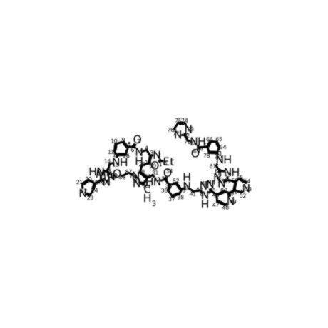 CCc1nc(CNC(=O)c2cccc(NCc3nnc(-c4ccncc4)[nH]3)c2)c(Cc2c(CNC(=O)c3cccc(NCc4nnc(-c5ccnc(-c6cnccc6-c6nnc(CNc7cccc(C(=O)NCc8ncccn8)c7)[nH]6)c5)[nH]4)c3)c(C)nn2CCOC)o1